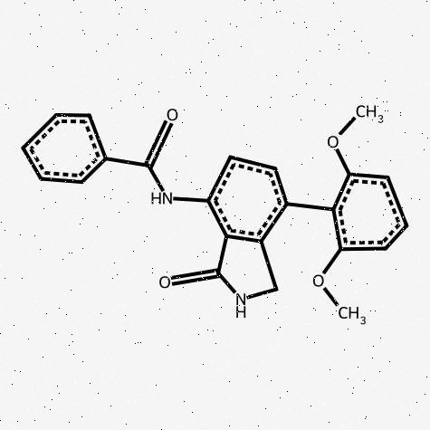 COc1cccc(OC)c1-c1ccc(NC(=O)c2ccccc2)c2c1CNC2=O